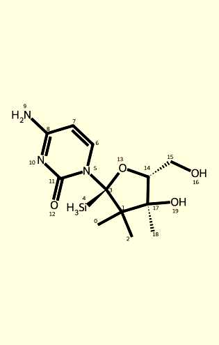 CC1(C)[C@]([SiH3])(n2ccc(N)nc2=O)O[C@H](CO)[C@@]1(C)O